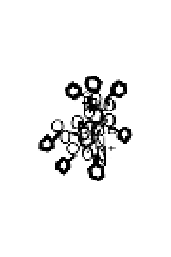 COC(=O)C1O[C@@H](O[Si](c2ccccc2)(c2ccccc2)C(C)(C)C)C(OCc2ccccc2)[C@H](OCc2ccccc2)[C@@H]1O[C@@H]1OC(COC(=O)c2ccccc2)[C@@H](OCc2ccccc2)[C@H](OCc2ccccc2)C1N=[N+]=[N-]